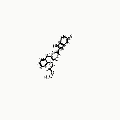 COC(=O)CN1C(=O)[C@@H](NC(=O)c2cc3cc(Cl)ncc3[nH]2)Cc2ccccc21